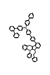 c1ccc(CCC2C3=C(Cc4ccccc4N3c3ccccc3)c3c(-c4ccc(-c5ccc(N(c6ccc(-c7ccccc7)cc6)c6ccc(-c7ccccc7-c7ccccc7)cc6)cc5)cc4)cccc32)cc1